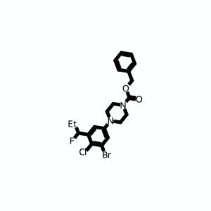 CCC(F)c1cc(N2CCN(C(=O)OCc3ccccc3)CC2)cc(Br)c1Cl